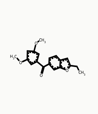 CCc1cc2ccc(C(=O)c3cc(OC)cc(OC)c3)cc2o1